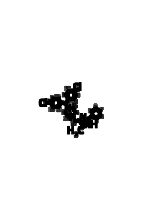 Cc1[nH]c(-c2ccccc2)nc1CN1CCN(C(c2ccc(Cl)cc2)c2ccc(Cl)cc2)CC1